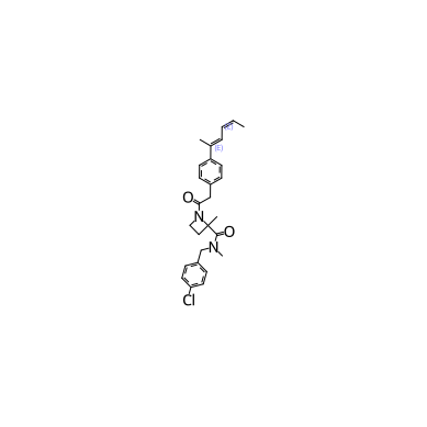 C/C=C\C=C(/C)c1ccc(CC(=O)N2CCC2(C)C(=O)N(C)Cc2ccc(Cl)cc2)cc1